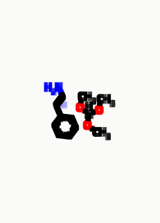 CO[SiH](OC)OC.N/C=C/c1ccccc1